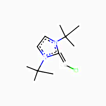 CC(C)(C)n1ccn(C(C)(C)C)[c]1=[Cu][Cl]